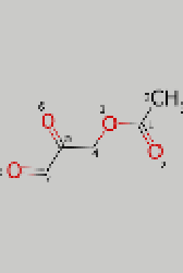 CC(=O)OCC(=O)C=O